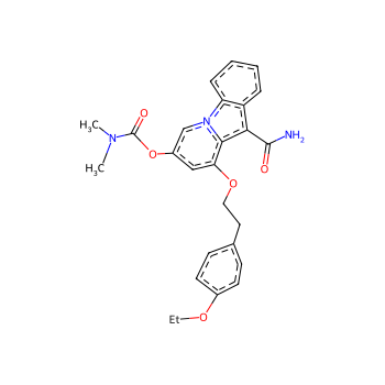 CCOc1ccc(CCOc2cc(OC(=O)N(C)C)cn3c2c(C(N)=O)c2ccccc23)cc1